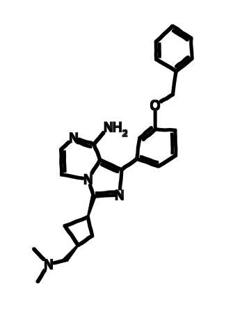 CN(C)C[C@H]1C[C@@H](c2nc(-c3cccc(OCc4ccccc4)c3)c3c(N)nccn32)C1